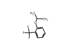 CC(C)Oc1cc[c]cc1C(F)(F)F